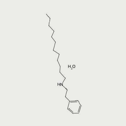 CCCCCCCCCCCCNCCc1ccccc1.O